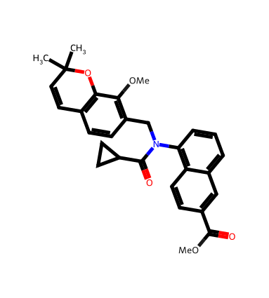 COC(=O)c1ccc2c(N(Cc3ccc4c(c3OC)OC(C)(C)C=C4)C(=O)C3CC3)cccc2c1